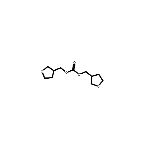 O=C(OCC1CCOC1)OCC1CCOC1